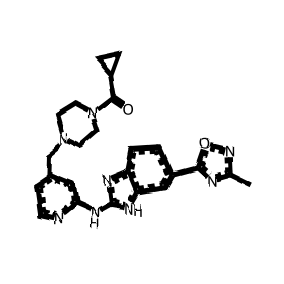 Cc1noc(-c2ccc3nc(Nc4cc(CN5CCN(C(=O)C6CC6)CC5)ccn4)[nH]c3c2)n1